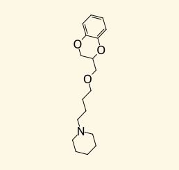 c1ccc2c(c1)OCC(COCCCCN1CCCCC1)O2